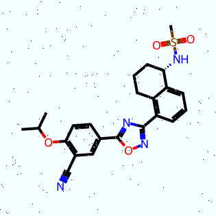 CC(C)Oc1ccc(-c2nc(-c3cccc4c3CCC[C@@H]4NS(C)(=O)=O)no2)cc1C#N